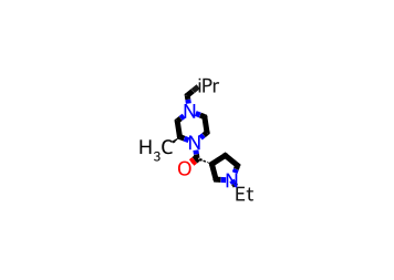 CCN1CC[C@@H](C(=O)N2CCN(CC(C)C)C[C@H]2C)C1